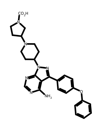 Nc1ncnc2c1c(-c1ccc(Oc3ccccc3)cc1)nn2C1CCN(C2CCN(C(=O)O)C2)CC1